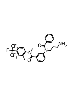 Cc1cc(C(F)(C(F)(F)F)C(F)(F)F)ccc1N(C)C(=O)c1cccc(N(CCCN)C(=O)c2ccccc2)c1